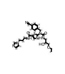 CCOCC(O)CNC(=O)N(Cc1ccc(C#N)cc1)c1ncc(C(=O)NCCCn2ccnc2)s1